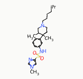 CC(C)CCCCN1CCC(C)(c2cccc(NS(=O)(=O)c3cn(C)cn3)c2)C(C)C1